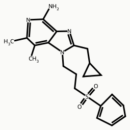 Cc1nc(N)c2nc(CC3CC3)n(CCCS(=O)(=O)c3ccccc3)c2c1C